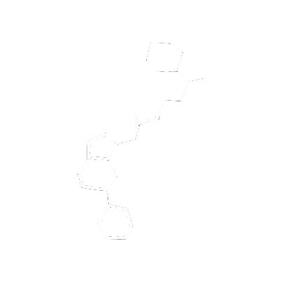 CN(CCNC(=O)Cn1ccc2ccc(-c3ccccc3)cc21)C1CCCCC1